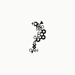 COc1nc(-c2cccc(-c3cccc(NC(=O)c4nc5c(n4C4CC4)CCN(C)C5)c3Cl)c2Cl)ccc1CN1CC2(CC(NC(C)=O)C2)C1